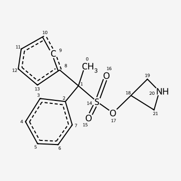 CC(c1ccccc1)(c1ccccc1)S(=O)(=O)OC1CNC1